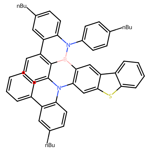 CCCCc1ccc(N2B3c4cc5c(cc4N(c4ccc(CCCC)cc4-c4ccccc4)c4cccc(c43)-c3cc(CCCC)ccc32)sc2ccccc25)cc1